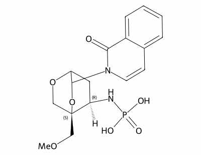 COC[C@]12COC(C[C@H]1NP(=O)(O)O)C(n1ccc3ccccc3c1=O)O2